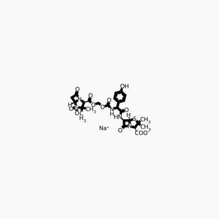 CC1(C)S[C@@H]2[C@H](NC(=O)C(NC(=O)OCOC(=O)[C@@H]3N4C(=O)C[C@H]4S(=O)(=O)C3(C)C)c3ccc(O)cc3)C(=O)N2[C@H]1C(=O)[O-].[Na+]